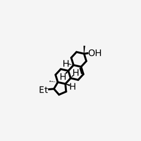 CCC1CC[C@H]2[C@@H]3CC=C4C[C@@](C)(O)CC[C@@H]4[C@H]3CC[C@]12C